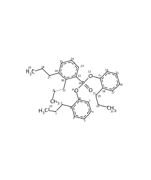 CCCc1ccccc1OP(=O)(Oc1ccccc1CCC)c1cccc(CCC)c1CCC